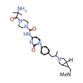 CNCC1C2CN(C(C)Cc3ccc(-n4ccc(NC(=O)N5CCN(C(=O)C(C)(C)N)CC5)nc4=O)cc3)C[C@H]12